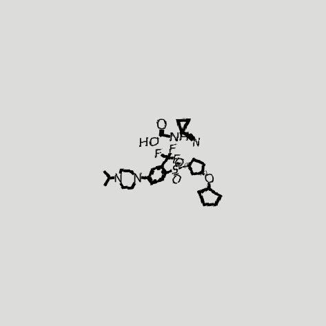 CC(C)N1CCN(c2ccc(S(=O)(=O)[C@H]3CC[C@H](OC4CCCC4)C3)c(C(F)(F)F)c2)CC1.N#CC1(NC(=O)O)CC1